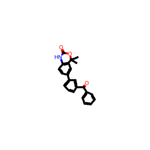 CC1(C)OC(=O)Nc2ccc(-c3cccc(C(=O)c4ccccc4)c3)cc21